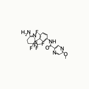 COc1cnc(C(=O)Nc2ccc(F)c([C@@]3(C(F)F)N=C(N)CCC3(F)F)c2)cn1